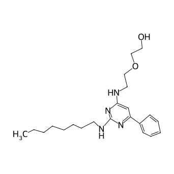 CCCCCCCCNc1nc(NCCOCCO)cc(-c2ccccc2)n1